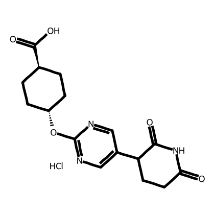 Cl.O=C1CCC(c2cnc(O[C@H]3CC[C@H](C(=O)O)CC3)nc2)C(=O)N1